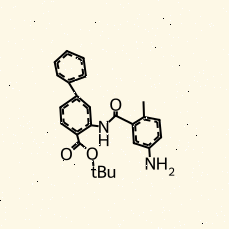 Cc1ccc(N)cc1C(=O)Nc1cc(-c2ccccc2)ccc1C(=O)OC(C)(C)C